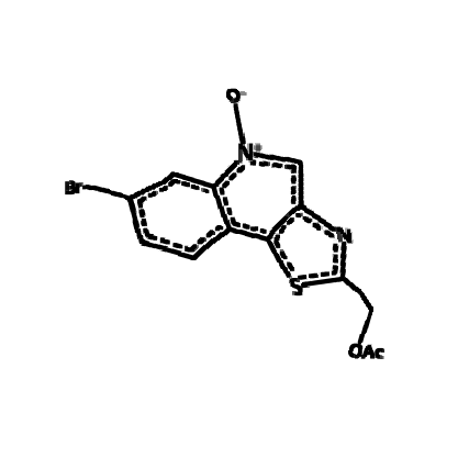 CC(=O)OCc1nc2c[n+]([O-])c3cc(Br)ccc3c2s1